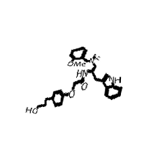 COc1ccccc1CN(CC(Cc1c[nH]c2ccccc12)NC(=O)COc1ccc(CCCO)cc1)C(C)=O